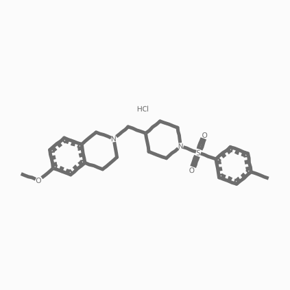 COc1ccc2c(c1)CCN(CC1CCN(S(=O)(=O)c3ccc(C)cc3)CC1)C2.Cl